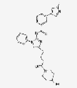 Cn1cc(-c2cccc(C(=O)Nc3nc(CCCC(=O)N4CCC(O)CC4)cn3-c3ccccc3)c2)cn1